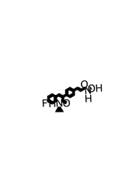 O=C(/C=C/c1ccc(C(=Cc2ccc(F)cc2)C(=O)NC2CC2)cc1)NO